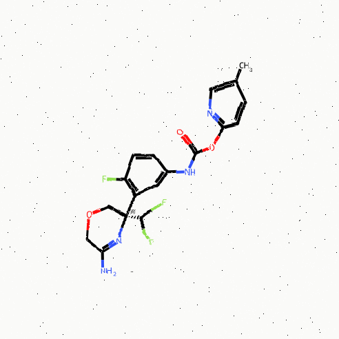 Cc1ccc(OC(=O)Nc2ccc(F)c([C@]3(C(F)F)COCC(N)=N3)c2)nc1